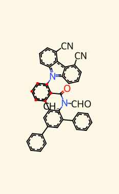 Cc1cccc(-n2c3cccc(C#N)c3c3c(C#N)cccc32)c1C(=O)N(C=O)c1c(-c2ccccc2)cc(-c2ccccc2)cc1-c1ccccc1